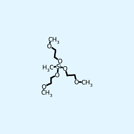 COCCO[Si](C)(OCCOC)OCCOC